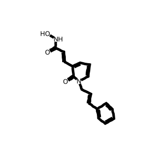 O=C(/C=C/c1cccn(C/C=C/c2ccccc2)c1=O)NO